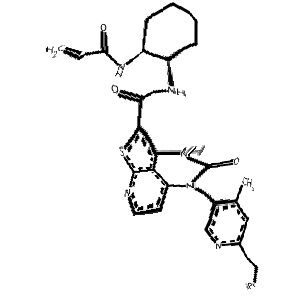 C=CC(=O)N[C@H]1CCCC[C@H]1NC(=O)c1sc2nccc3c2c1NC(=O)N3c1cnc(CC(C)C)cc1C